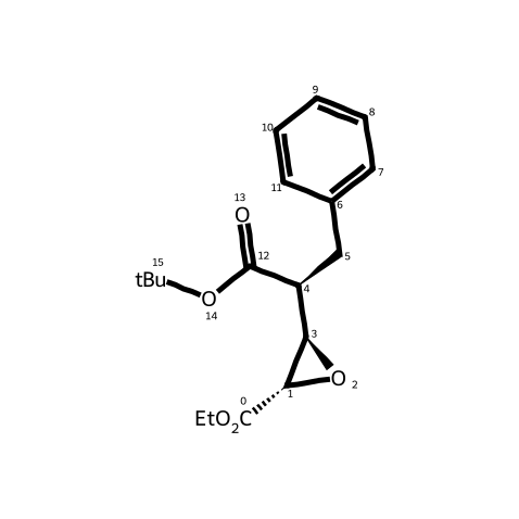 CCOC(=O)[C@H]1O[C@@H]1[C@H](Cc1ccccc1)C(=O)OC(C)(C)C